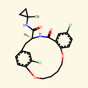 N#CC1(NC(=O)[C@@H]2Cc3ccc(c(Cl)c3)OCCCCOc3ccc(Cl)cc3C(=O)N2)CC1